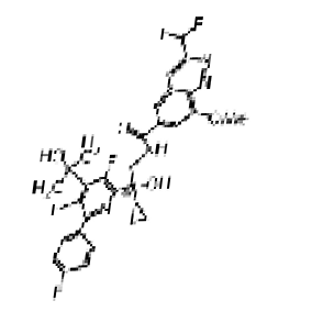 COc1cc(C(=O)NC[C@](O)(c2nc(-c3ccc(F)cc3)c(F)c(C(C)(C)O)c2F)C2CC2)cc2cc(C(F)F)nnc12